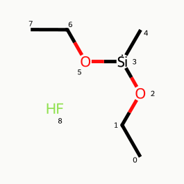 CCO[Si](C)OCC.F